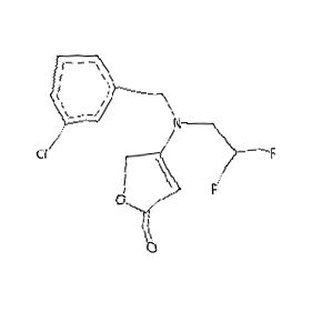 O=C1C=C(N(Cc2cccc(Cl)c2)CC(F)F)CO1